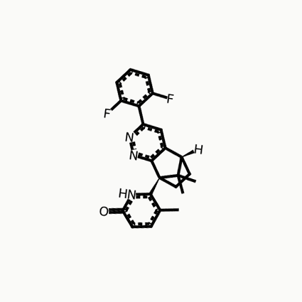 Cc1ccc(=O)[nH]c1[C@@]12CC[C@@H](c3cc(-c4c(F)cccc4F)nnc31)C2(C)C